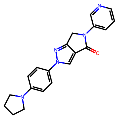 O=C1c2cn(-c3ccc(N4CCCC4)cc3)nc2CN1c1cccnc1